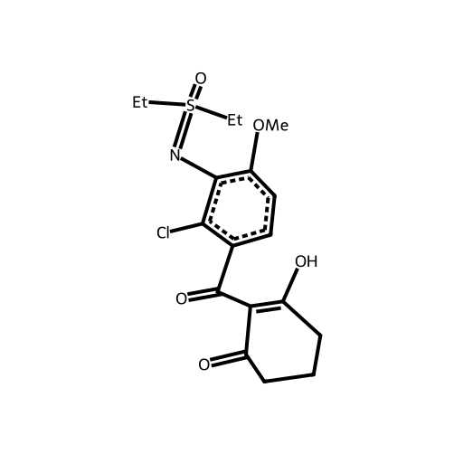 CCS(=O)(CC)=Nc1c(OC)ccc(C(=O)C2=C(O)CCCC2=O)c1Cl